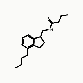 CCCCc1cccc2c1CCC2CNC(=O)CCC